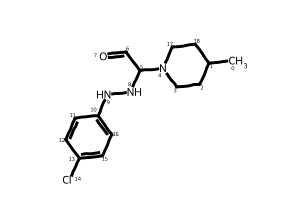 CC1CCN(C(C=O)NNc2ccc(Cl)cc2)CC1